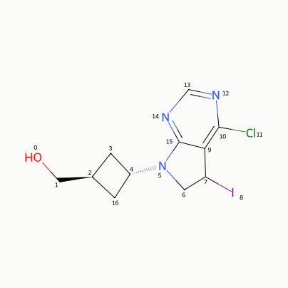 OC[C@H]1C[C@H](N2CC(I)c3c(Cl)ncnc32)C1